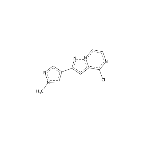 Cn1cc(-c2cc3c(Cl)nccn3n2)cn1